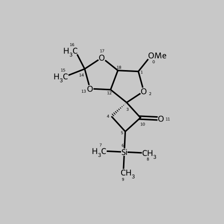 COC1O[C@]2(CC([Si](C)(C)C)C2=O)C2OC(C)(C)OC12